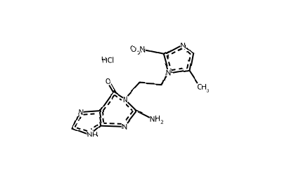 Cc1cnc([N+](=O)[O-])n1CCn1c(N)nc2[nH]cnc2c1=O.Cl